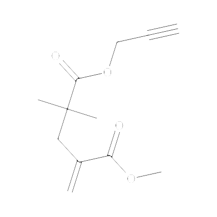 C#CCOC(=O)C(C)(C)CC(=C)C(=O)OC